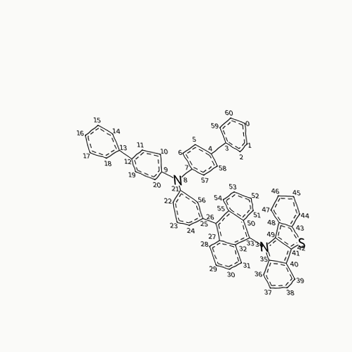 c1ccc(-c2ccc(N(c3ccc(-c4ccccc4)cc3)c3cccc(-c4c5ccccc5c(-n5c6ccccc6c6sc7ccccc7c65)c5ccccc45)c3)cc2)cc1